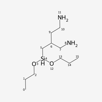 CCCO[SiH](CC(CN)CCN)OCCC